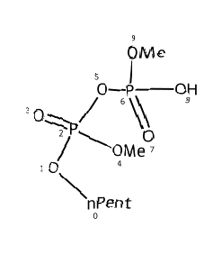 CCCCCOP(=O)(OC)OP(=O)(O)OC